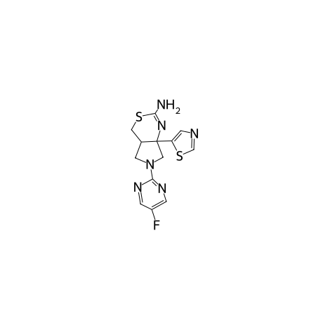 NC1=NC2(c3cncs3)CN(c3ncc(F)cn3)CC2CS1